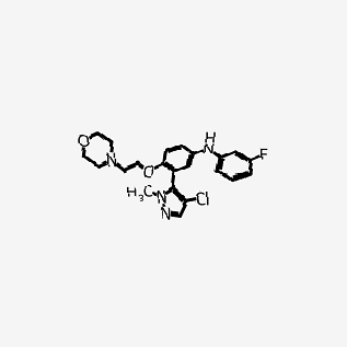 Cn1ncc(Cl)c1-c1cc(Nc2cccc(F)c2)ccc1OCCN1CCOCC1